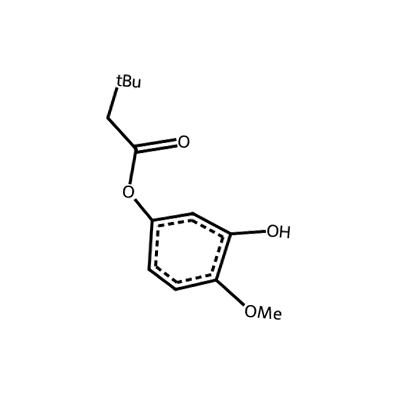 COc1ccc(OC(=O)CC(C)(C)C)cc1O